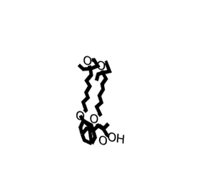 CCC1(CCCCCCCOC(=C(C)C(=O)O)C23CC4CC(CC(OCCCCCCCC5(CC)CCO5)(C4)C2)C3)CCO1